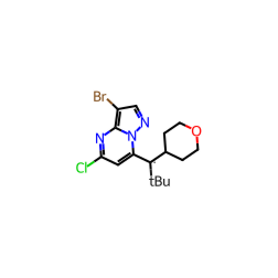 CC(C)(C)[C](c1cc(Cl)nc2c(Br)cnn12)C1CCOCC1